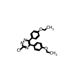 CCOc1ccc(-c2nnc(Cl)nc2-c2ccc(OCC)cc2)cc1